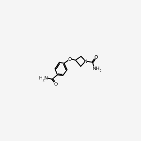 NC(=O)c1ccc(OC2CN(C(N)=O)C2)cc1